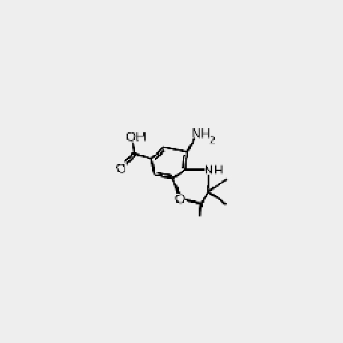 CC1Oc2cc(C(=O)O)cc(N)c2NC1(C)C